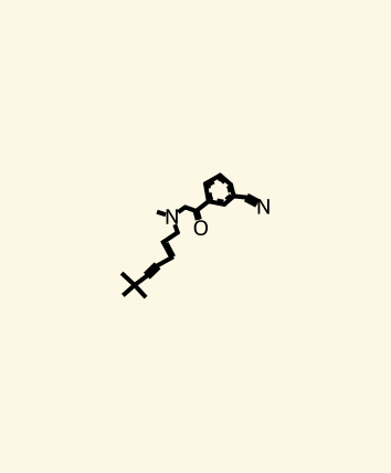 CN(CC=CC#CC(C)(C)C)CC(=O)c1cccc(C#N)c1